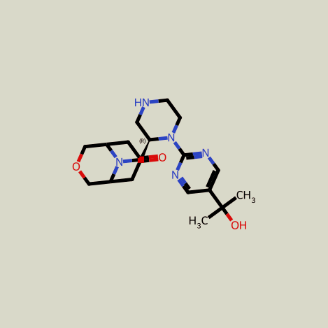 CC(C)(O)c1cnc(N2CCNC[C@@H]2CN2C3COCC2CC(=O)C3)nc1